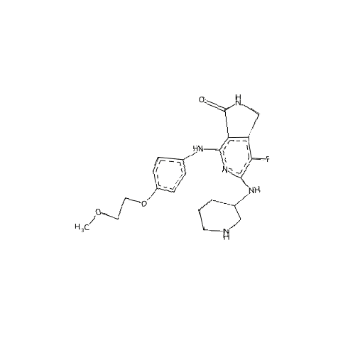 COCCOc1ccc(Nc2nc(NC3CCCNC3)c(F)c3c2C(=O)NC3)cc1